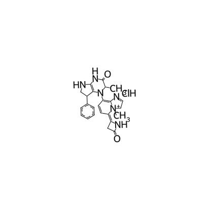 CC1C(=O)NC2=C(C(c3ccccc3)CN2)N1C1=C2N=CC[N+]2(C)C(=C2CC(=O)N2)C=C1.Cl